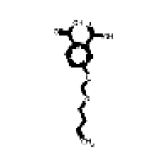 C=CCCOCOc1ccc(C(=O)O)c(C(=O)O)c1